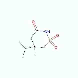 CC(C)C1(C)CC(=O)NS(=O)(=O)C1